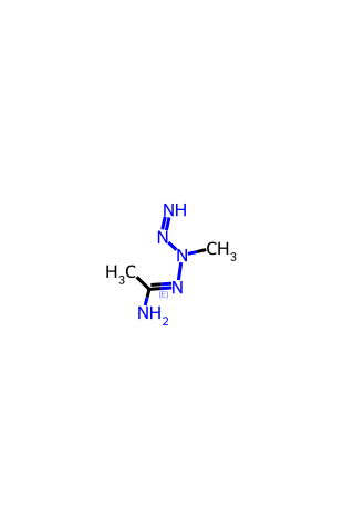 C/C(N)=N\N(C)N=N